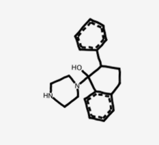 OC1(N2CCNCC2)c2ccccc2CCC1c1ccccc1